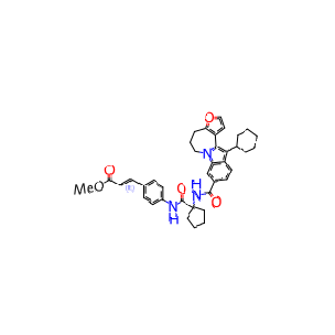 COC(=O)/C=C/c1ccc(NC(=O)C2(NC(=O)c3ccc4c(C5CCCCC5)c5n(c4c3)CCCc3occc3-5)CCCC2)cc1